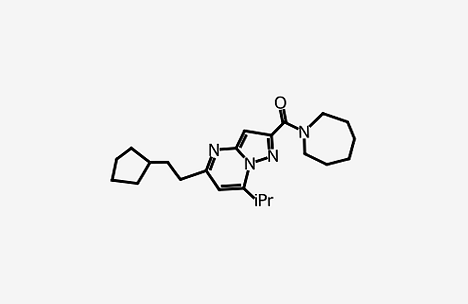 CC(C)c1cc(CCC2CCCC2)nc2cc(C(=O)N3CCCCCC3)nn12